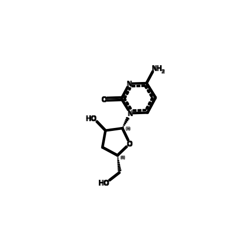 Nc1ccn([C@@H]2O[C@H](CO)CC2O)c(=O)n1